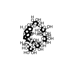 C[C@H](CC[C@@H](O[C@@H]1O[C@H](CO[C@@H]2O[C@H](CO)[C@@H](O)[C@H](O)[C@H]2O)[C@@H](O)[C@H](O)[C@H]1O[C@@H]1O[C@H](CO)[C@@H](O)[C@H](O)[C@H]1O)C(C)(C)O)C1CC[C@@]2(C)[C@@H]3CC=C4C(CC[C@H](O[C@@H]5O[C@H](CO[C@@H]6O[C@H](CO)[C@@H](O)[C@H](O)[C@H]6O)[C@@H](O)[C@H](O)[C@H]5O)C4(C)C)[C@]3(CO)C(=O)C[C@]12C